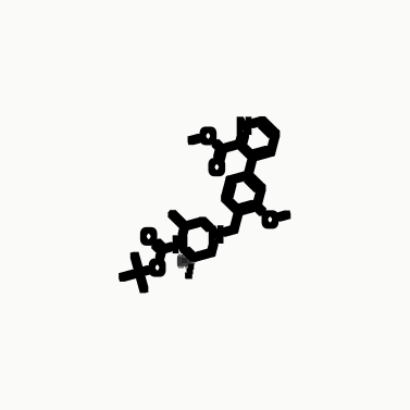 COC(=O)c1ncccc1-c1ccc(CN2CC(C)N(C(=O)OC(C)(C)C)[C@@H](C)C2)c(OC)c1